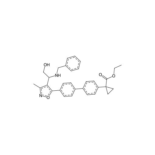 CCOC(=O)C1(c2ccc(-c3ccc(-c4onc(C)c4C(CO)NCc4ccccc4)cc3)cc2)CC1